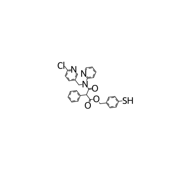 O=C(OCc1ccc(S)cc1)C(C(=O)N(Cc1ccc(Cl)nc1)c1ccccn1)c1ccccc1